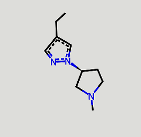 CCc1cnn([C@H]2CCN(C)C2)c1